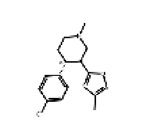 Cc1noc(C2CN(C)CC[C@H]2c2ccc(Cl)cc2)n1